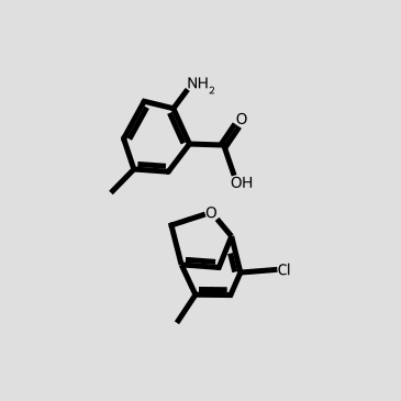 Cc1cc(Cl)c2cc1CO2.Cc1ccc(N)c(C(=O)O)c1